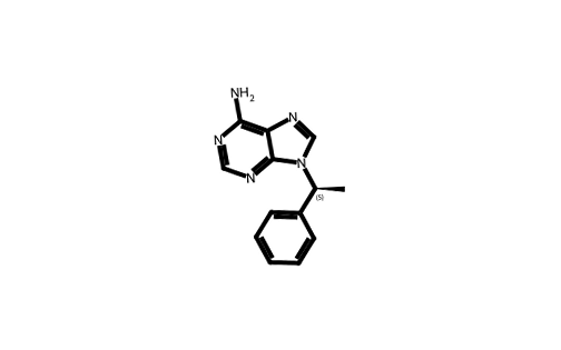 C[C@@H](c1ccccc1)n1cnc2c(N)ncnc21